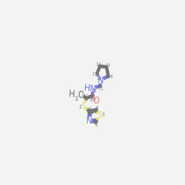 CC(Sc1cscn1)C(=O)NCN1CCCC1